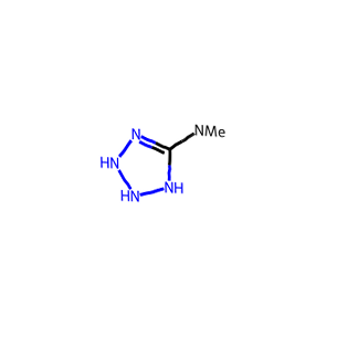 CNC1=NNNN1